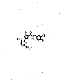 Nc1ncc(O)c(-c2c[nH]c(C(=O)NCc3ccc(F)c(Cl)c3)c2)n1